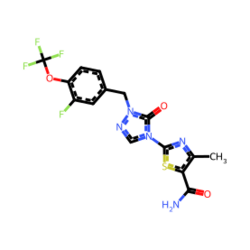 Cc1nc(-n2cnn(Cc3ccc(OC(F)(F)F)c(F)c3)c2=O)sc1C(N)=O